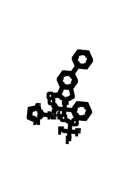 O=C1c2ccc(-c3ccccc3)cc2CN1C(OC(=O)C(F)(F)F)(C(=O)Nc1nccs1)c1ccccc1